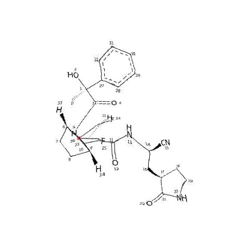 C[C@@](O)(C(=O)N1[C@H]2CC[C@@H]([C@@H]1C(=O)N[C@@H](C#N)C[C@H]1CCNC1=O)C(F)(F)C2)c1ccccc1